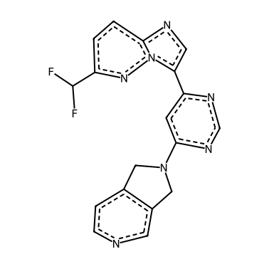 FC(F)c1ccc2ncc(-c3cc(N4Cc5ccncc5C4)ncn3)n2n1